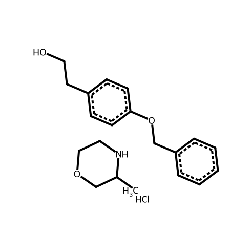 CC1COCCN1.Cl.OCCc1ccc(OCc2ccccc2)cc1